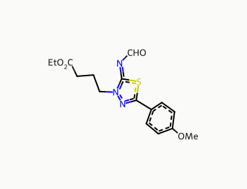 CCOC(=O)CCCn1nc(-c2ccc(OC)cc2)sc1=NC=O